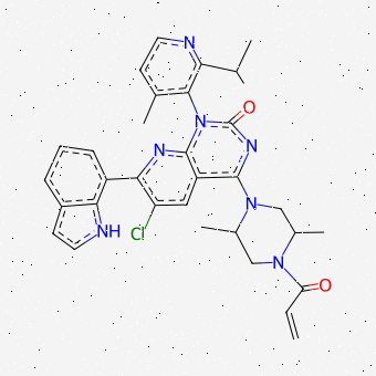 C=CC(=O)N1CC(C)N(c2nc(=O)n(-c3c(C)ccnc3C(C)C)c3nc(-c4cccc5cc[nH]c45)c(Cl)cc23)CC1C